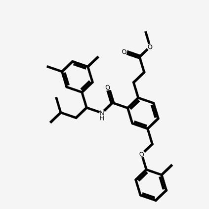 COC(=O)CCc1ccc(COc2ccccc2C)cc1C(=O)NC(CC(C)C)c1cc(C)cc(C)c1